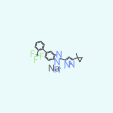 Cn1nc(C2(C)CC2)cc1-c1nc2cc(-c3ccccc3C(F)(F)F)ccc2[nH]1.[Na]